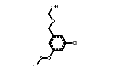 OCOCc1cc(O)cc(OSCl)c1